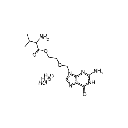 CC(C)C(N)C(=O)OCCOCn1cnc2c(=O)[nH]c(N)nc21.Cl.O.O